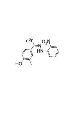 CCCC(=NNc1ccccc1[N+](=O)[O-])c1ccc(O)c(C)c1